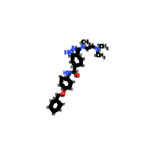 CN(C)CCN(C)c1n[nH]c2cc(C(=O)Nc3ccc(OCc4ccccc4)cc3)ccc12